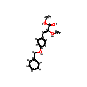 CCCOC(=O)C(=Cc1ccc(OCc2ccccc2)cc1)OCCC